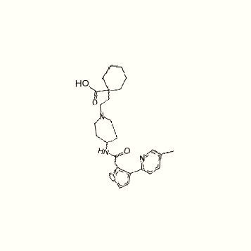 Cc1ccc(-c2ccoc2C(=O)NC2CCN(CCC3(C(=O)O)CCCCC3)CC2)nc1